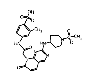 Cc1cc(NC(=O)Cn2c(=O)ccc3cnc(NC4CCN(S(C)(=O)=O)CC4)nc32)ccc1S(=O)(=O)O